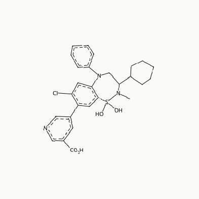 CN1C(C2CCCCC2)CN(c2ccccc2)c2cc(Cl)c(-c3cncc(C(=O)O)c3)cc2S1(O)O